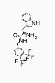 N[C@H](Cc1c[nH]c2ccccc12)C(=O)NCc1ccc(C(F)(F)F)c(C(F)(F)F)c1